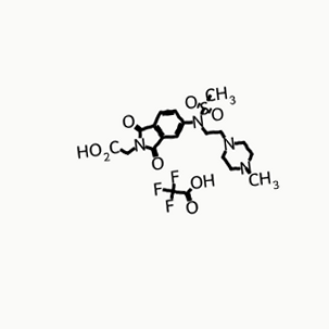 CN1CCN(CCN(c2ccc3c(c2)C(=O)N(CC(=O)O)C3=O)S(C)(=O)=O)CC1.O=C(O)C(F)(F)F